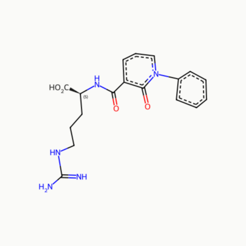 N=C(N)NCCC[C@H](NC(=O)c1cccn(-c2ccccc2)c1=O)C(=O)O